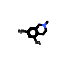 CN1CCc2c(cc([N+](=O)[O-])cc2[N+](=O)[O-])C1